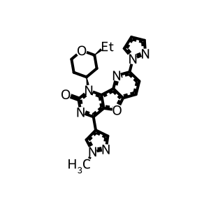 CC[C@H]1C[C@@H](n2c(=O)nc(-c3cnn(C)c3)c3oc4ccc(-n5cccn5)nc4c32)CCO1